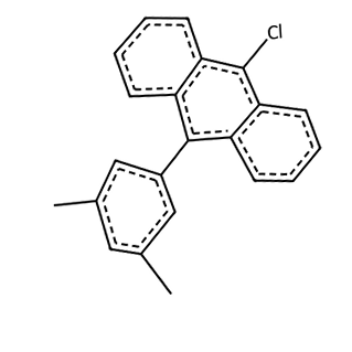 Cc1cc(C)cc(-c2c3ccccc3c(Cl)c3ccccc23)c1